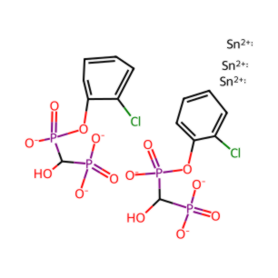 O=P([O-])([O-])C(O)P(=O)([O-])Oc1ccccc1Cl.O=P([O-])([O-])C(O)P(=O)([O-])Oc1ccccc1Cl.[Sn+2].[Sn+2].[Sn+2]